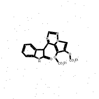 CCOC(=O)Oc1cn2ncnc(C3C(=O)Nc4ccccc43)c2c1OC(=O)OCC